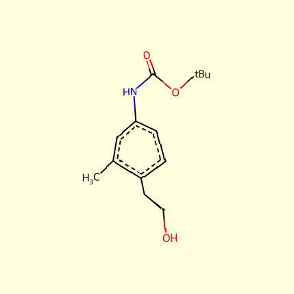 Cc1cc(NC(=O)OC(C)(C)C)ccc1CCO